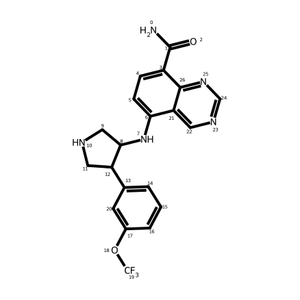 NC(=O)c1ccc(NC2CNCC2c2cccc(OC(F)(F)F)c2)c2cncnc12